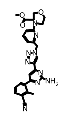 COC(=O)C1COCCN1c1cccc(Cn2cc(-c3cc(-c4cccc(C#N)c4C)nc(N)n3)nn2)n1